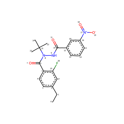 CCc1ccc(C(=O)N(NC(=O)c2cccc([N+](=O)[O-])c2)C(C)(C)C)c(F)c1